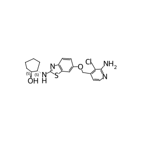 Nc1nccc(COc2ccc3nc(N[C@H]4CCCC[C@@H]4O)sc3c2)c1Cl